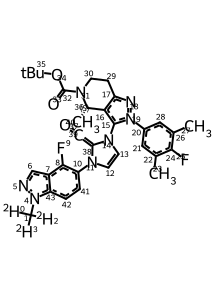 [2H]C([2H])([2H])n1ncc2c(F)c(N3C=CN(c4c5c(nn4-c4cc(C)c(F)c(C)c4)CCN(C(=O)OC(C)(C)C)[C@H]5C)C3=C=O)ccc21